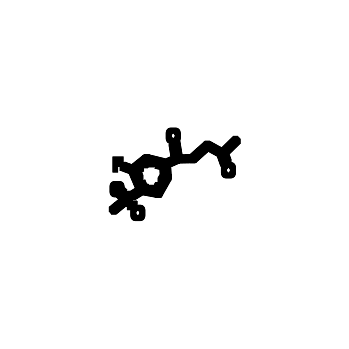 CC(=O)CCC(=O)c1ccc(S(C)(=O)=O)c(F)c1